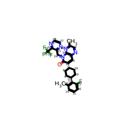 Cc1cnc2cc([C@H]3CC[C@H](c4c(C)cccc4F)CC3)c(=O)n(Cc3nccnc3C(F)(F)F)c2n1